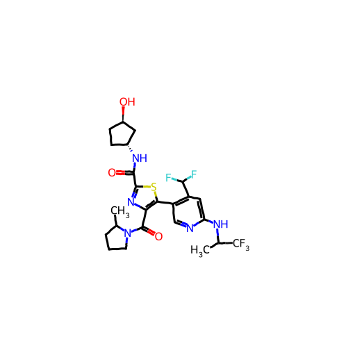 CC1CCCN1C(=O)c1nc(C(=O)N[C@@H]2CC[C@@H](O)C2)sc1-c1cnc(NC(C)C(F)(F)F)cc1C(F)F